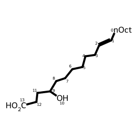 CCCCCCCCC=CCCCCCCC(O)CCC(=O)O